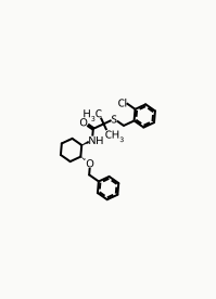 CC(C)(SCc1ccccc1Cl)C(=O)N[C@@H]1CCCC[C@H]1OCc1ccccc1